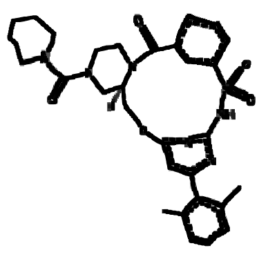 Cc1cccc(C)c1-c1cc2nc(n1)NS(=O)(=O)c1cccc(c1)C(=O)N1CCN(C(=O)N3CCCCC3)C[C@@H]1CO2